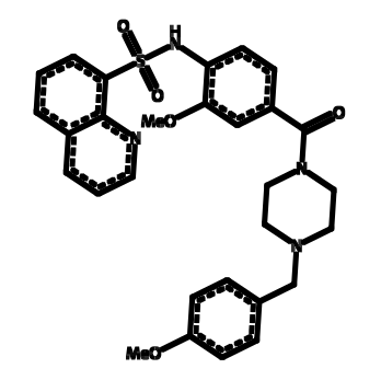 COc1ccc(CN2CCN(C(=O)c3ccc(NS(=O)(=O)c4cccc5cccnc45)c(OC)c3)CC2)cc1